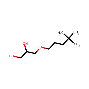 CC(C)(C)CCCOCC(O)CO